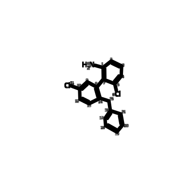 Nc1c[c]cc(Cl)c1-c1cc(Cl)ccc1Cc1ccccc1